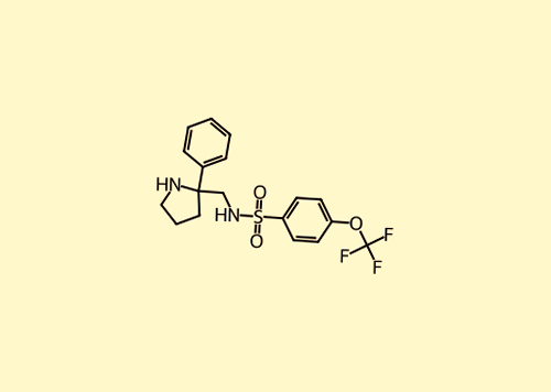 O=S(=O)(NCC1(c2ccccc2)CCCN1)c1ccc(OC(F)(F)F)cc1